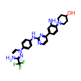 C=CN(/N=C(\N)C(F)(F)F)c1ccc(Nc2nccc(-c3ccc(N4CCC(O)CC4)c(N)c3)n2)cc1